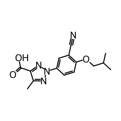 Cc1nn(-c2ccc(OCC(C)C)c(C#N)c2)nc1C(=O)O